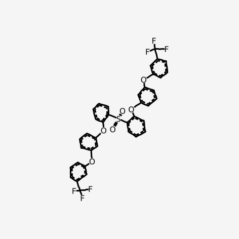 O=S(=O)(c1ccccc1Oc1cccc(Oc2cccc(C(F)(F)F)c2)c1)c1ccccc1Oc1cccc(Oc2cccc(C(F)(F)F)c2)c1